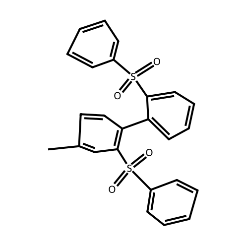 Cc1ccc(-c2ccccc2S(=O)(=O)c2ccccc2)c(S(=O)(=O)c2ccccc2)c1